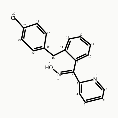 ON=C(c1ccccn1)c1ccccc1Cc1ccc(Cl)cc1